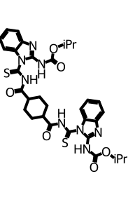 CC(C)OC(=O)Nc1nc2ccccc2n1C(=S)NC(=O)C1CCC(C(=O)NC(=S)n2c(NC(=O)OC(C)C)nc3ccccc32)CC1